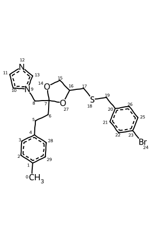 Cc1ccc(CCC2(Cn3ccnc3)OCC(CSCc3ccc(Br)cc3)O2)cc1